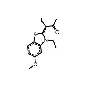 CCN1C(=C(I)C(C)=O)Sc2ccc(OC)cc21